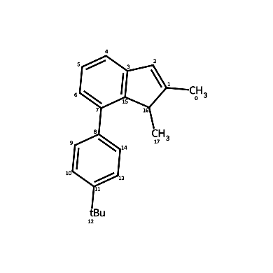 CC1=Cc2cccc(-c3ccc(C(C)(C)C)cc3)c2C1C